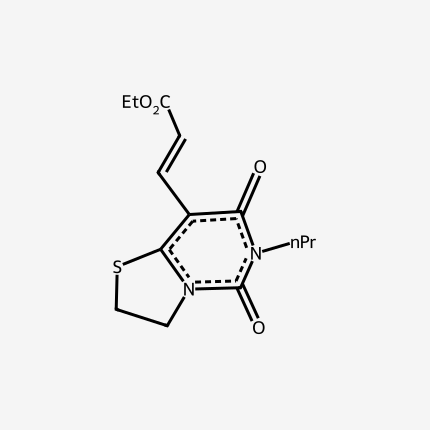 CCCn1c(=O)c(C=CC(=O)OCC)c2n(c1=O)CCS2